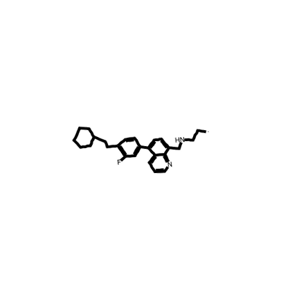 [CH2]CCNCc1ccc(-c2ccc(CCC3CCCCC3)c(F)c2)c2cccnc12